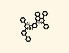 C1=C(c2ccccc2)N=C(c2cccc(-c3cc4ccccc4c4c3NC(c3ccccc3)C=C4c3ccccc3)c2)NC1c1cccc(-c2ccccc2)c1